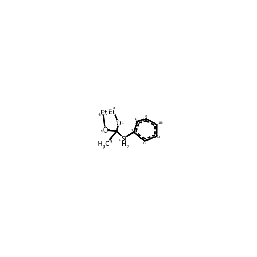 CCOC(C)(OCC)[SiH2]c1ccccc1